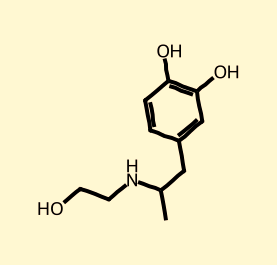 CC(Cc1ccc(O)c(O)c1)NCCO